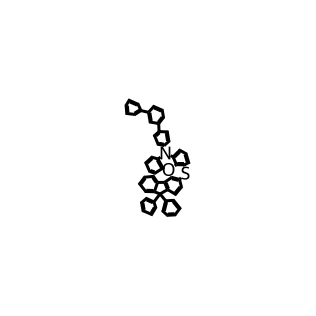 c1ccc(-c2cccc(-c3ccc(N(c4ccccc4)c4cccc5c4Oc4c(ccc6c4-c4ccccc4C6(c4ccccc4)c4ccccc4)S5)cc3)c2)cc1